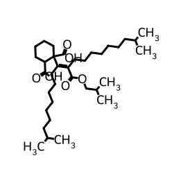 CC(C)CCCCCCCC(C(=O)OCC(C)C)=C(CCCCCCCC(C)C)C1(C(=O)O)CCCCC1C(=O)O